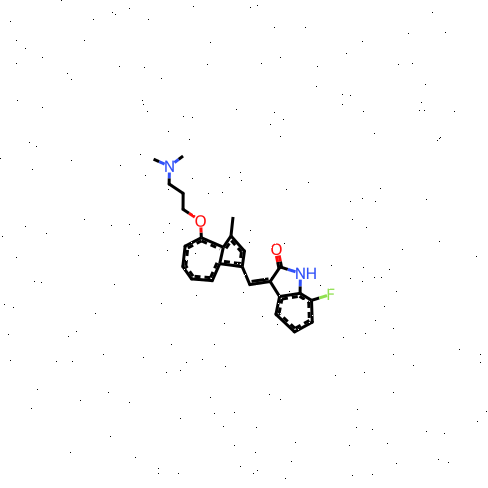 Cc1cc(C=C2C(=O)Nc3c(F)cccc32)c2ccccc(OCCCN(C)C)c1-2